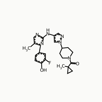 Cc1cnc(Nc2cnn(C3CCN(C(=O)C4(C)CC4)CC3)c2)nc1-c1ccc(O)c(F)c1